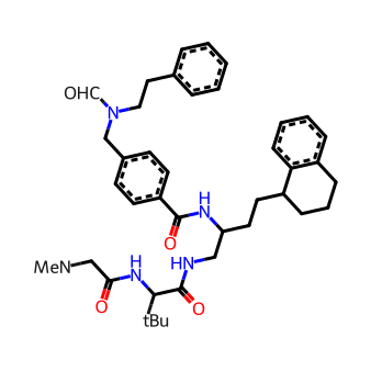 CNCC(=O)NC(C(=O)NCC(CCC1CCCc2ccccc21)NC(=O)c1ccc(CN(C=O)CCc2ccccc2)cc1)C(C)(C)C